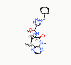 CN1C(=O)[C@]2(NC(=O)c3cn(Cc4ccccc4)nn3)C3[C@@H](c4nccnc41)[C@H]32